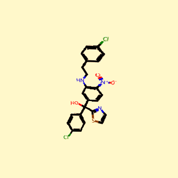 O=[N+]([O-])c1ccc(C(O)(c2ccc(Cl)cc2)c2nccs2)cc1NCCc1ccc(Cl)cc1